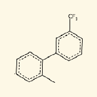 Cc1c[c]ccc1-c1cccc(C(F)(F)F)c1